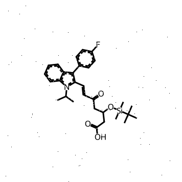 CC(C)n1c(C=CC(=O)CC(CC(=O)O)O[Si](C)(C)C(C)(C)C)c(-c2ccc(F)cc2)c2ccccc21